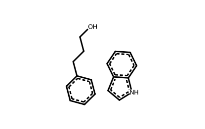 OCCCc1ccccc1.c1ccc2[nH]ccc2c1